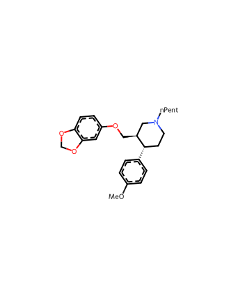 CCCCCN1CC[C@H](c2ccc(OC)cc2)[C@@H](COc2ccc3c(c2)OCO3)C1